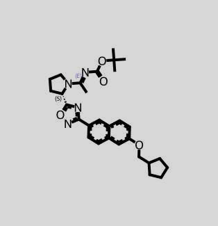 C/C(=N\C(=O)OC(C)(C)C)N1CCC[C@H]1c1nc(-c2ccc3cc(OCC4CCCC4)ccc3c2)no1